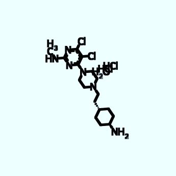 CNc1nc(Cl)c(Cl)c(N2CCN(CC[C@H]3CC[C@H](N)CC3)CC2)n1.Cl.Cl.O